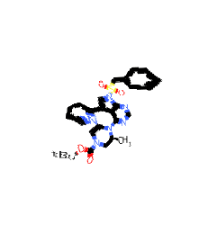 C[C@H]1CN(C(=O)OC(C)(C)C)CCN1c1ncnc2c1c(-c1ccccn1)cn2S(=O)(=O)Cc1ccccc1